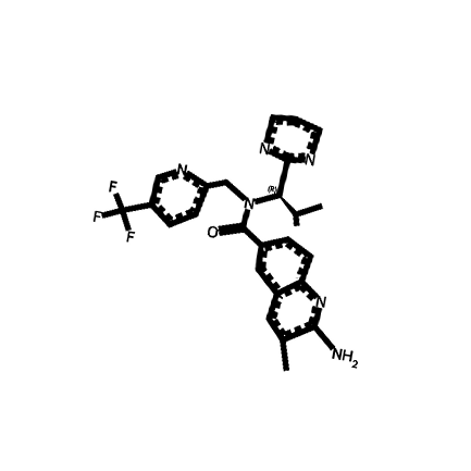 Cc1cc2cc(C(=O)N(Cc3ccc(C(F)(F)F)cn3)[C@@H](c3ncccn3)C(C)C)ccc2nc1N